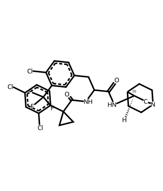 O=C(N[C@@H]1CN2CCC1CC2)C(Cc1ccc(Cl)c(C(F)(F)F)c1)NC(=O)C1(c2ccc(Cl)cc2Cl)CC1